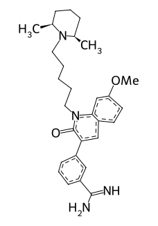 COc1ccc2cc(-c3cccc(C(=N)N)c3)c(=O)n(CCCCCN3[C@H](C)CCC[C@@H]3C)c2c1